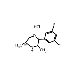 CC1N[C@@H](C)COC1c1cc(F)cc(F)c1.Cl